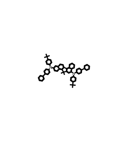 CC(C)(C)c1ccc(N(c2ccc(-c3ccccc3)cc2)c2ccc3c4c(ccc3c2)-c2c(cc(N(c3ccc(-c5ccccc5)cc3)c3ccc(C(C)(C)C)cc3)c3ccccc23)C4(C)C)cc1